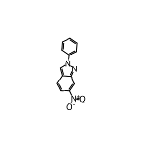 O=[N+]([O-])c1ccc2cn(-c3ccccc3)nc2c1